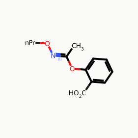 CCCO/N=C(\C)Oc1ccccc1C(=O)O